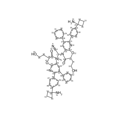 C[N+]1(C(C#N)N2C(=O)C(CCO)Oc3nc(-c4ccc(C5(N)CCC5)cc4)c(-c4ccccc4)cc32)C(=O)C(CCO)Oc2nc(-c3ccc(C4(N)CCC4)cc3)c(-c3ccccc3)cc21